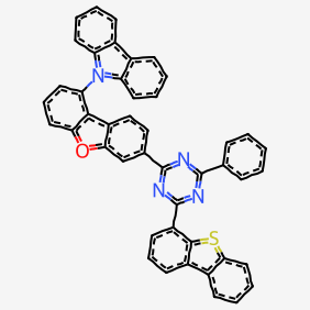 c1ccc(-c2nc(-c3ccc4c(c3)oc3cccc(-n5c6ccccc6c6ccccc65)c34)nc(-c3cccc4c3sc3ccccc34)n2)cc1